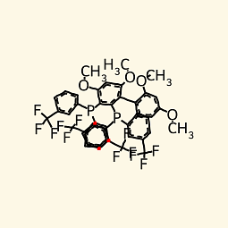 COc1ccc(-c2c(OC)cc(OC)c(P(c3cccc(C(F)(F)F)c3)c3cccc(C(F)(F)F)c3)c2P(c2cccc(C(F)(F)F)c2)c2cccc(C(F)(F)F)c2)c(OC)c1